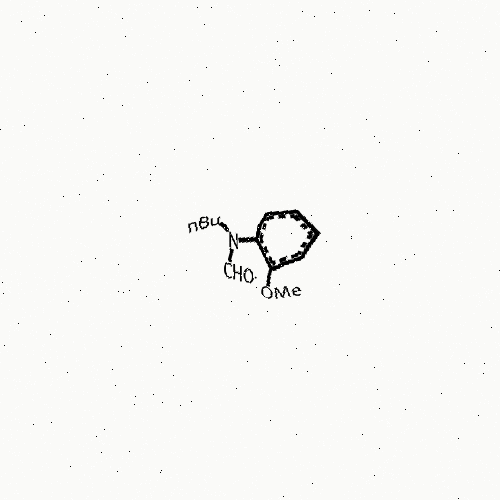 CCCCN([C]=O)c1ccccc1OC